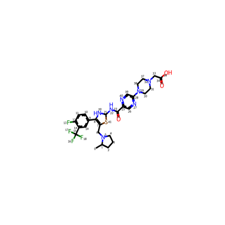 CC1CCCN1CC1=C(c2ccc(F)c(C(F)(F)F)c2)NC(NC(=O)c2cnc(N3CCN(CC(=O)O)CC3)cn2)S1